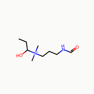 CCC(O)[N+](C)(C)CCCNC=O